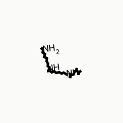 C=C(N)CCCCCCCNC(=C)CCCCCCCNC(=C)C/C=C(/C)C(=C)C